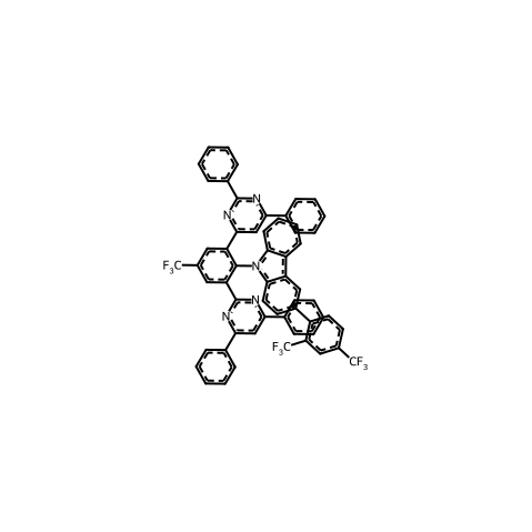 FC(F)(F)c1cc(-c2cc(-c3ccccc3)nc(-c3ccccc3)n2)c(-n2c3ccccc3c3cc(-c4ccc(C(F)(F)F)cc4C(F)(F)F)ccc32)c(-c2nc(-c3ccccc3)cc(-c3ccccc3)n2)c1